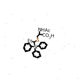 CCC(SCC(NC(C)=O)C(=O)O)[Si](c1ccccc1)(c1ccccc1)c1ccccc1